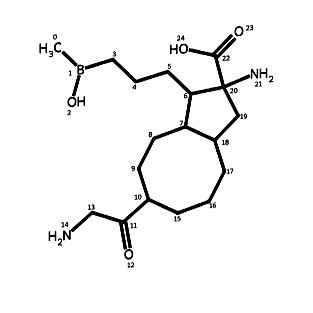 CB(O)CCCC1C2CCC(C(=O)CN)CCCC2CC1(N)C(=O)O